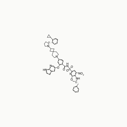 O=C(NS(=O)(=O)c1cc([N+](=O)[O-])c2c(n1)OC[C@@H](Cc1ccccc1)N2)c1ccc(N2CCC3(CC2)CC(N2CCC[C@@H]2c2ccccc2C2CC2)C3)cc1Oc1cnc2[nH]ccc2c1